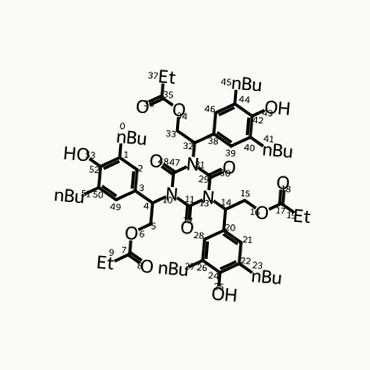 CCCCc1cc(C(COC(=O)CC)n2c(=O)n(C(COC(=O)CC)c3cc(CCCC)c(O)c(CCCC)c3)c(=O)n(C(COC(=O)CC)c3cc(CCCC)c(O)c(CCCC)c3)c2=O)cc(CCCC)c1O